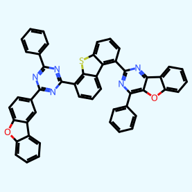 c1ccc(-c2nc(-c3ccc4oc5ccccc5c4c3)nc(-c3cccc4c3sc3cccc(-c5nc(-c6ccccc6)c6oc7ccccc7c6n5)c34)n2)cc1